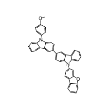 COc1ccc(-n2c3ccccc3c3cc(-c4ccc5c(c4)c4ccccc4n5-c4ccc5c(c4)oc4ccccc45)ccc32)cc1